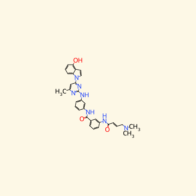 Cc1cc(-n2ccc3c(O)cccc32)nc(Nc2cccc(NC(=O)c3cccc(NC(=O)/C=C/CN(C)C)c3)c2)n1